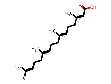 CC(C)=CCC/C(C)=C/CC/C(C)=C/CC/C(C)=C/C(=O)O